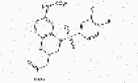 CNC(=O)CC1CN(S(=O)(=O)c2ccc(F)c(Cl)c2)c2cc(NC(=O)O)ccc2O1